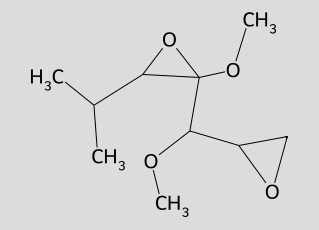 COC(C1CO1)C1(OC)OC1C(C)C